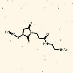 CC(=O)NCCNC(=O)CCN1C(=O)CC(SB=N)C1=O